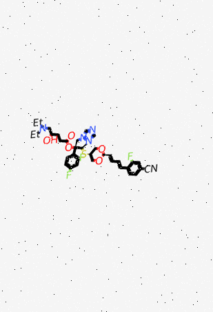 CCN(CC)CC(O)CCC(=O)O[C@@](Cn1cncn1)(c1ccc(F)cc1F)[C@@H](C)S[C@H]1CO[C@H](C=CC=Cc2ccc(C#N)cc2F)OC1